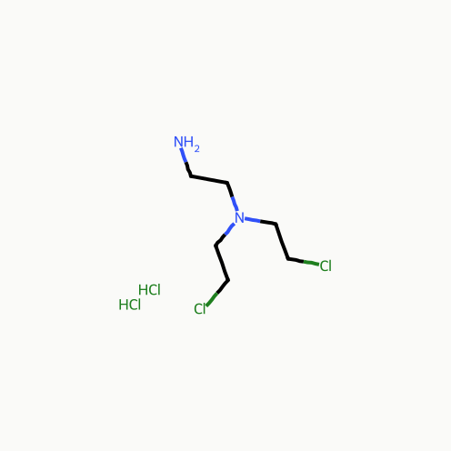 Cl.Cl.NCCN(CCCl)CCCl